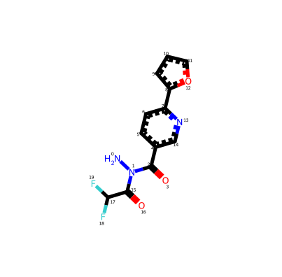 NN(C(=O)c1ccc(-c2ccco2)nc1)C(=O)C(F)F